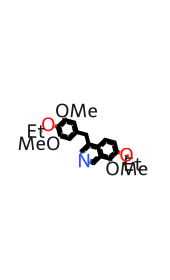 CCOc1ccc2c(Cc3cc(OC)c(OCC)c(OC)c3)cncc2c1OC